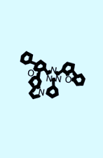 c1ccc(-c2nc(-c3cccc4c3oc3ccccc34)nc(-c3ccc(-c4ccccc4)c4oc5cc6cccnc6cc5c34)n2)cc1